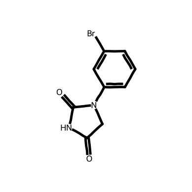 O=C1CN(c2cccc(Br)c2)C(=O)N1